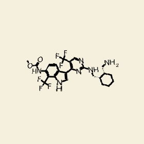 COC(=O)Nc1ccc2c(-c3nc(NC[C@H]4CCCC[C@H]4CN)ncc3C(F)(F)F)c[nH]c2c1C(F)(F)F